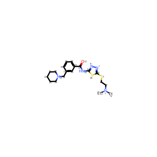 CCN(CC)CCSc1nnc(NC(=O)c2cccc(CN3CCCCC3)c2)s1